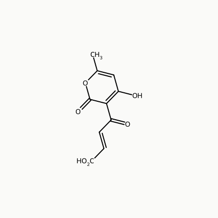 Cc1cc(O)c(C(=O)C=CC(=O)O)c(=O)o1